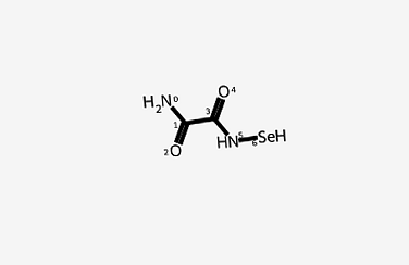 NC(=O)C(=O)N[SeH]